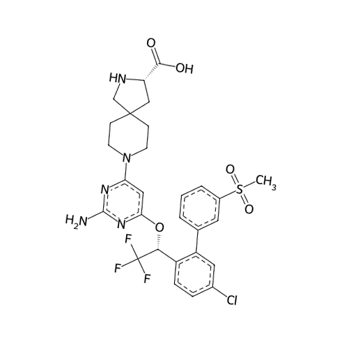 CS(=O)(=O)c1cccc(-c2cc(Cl)ccc2[C@@H](Oc2cc(N3CCC4(CC3)CN[C@H](C(=O)O)C4)nc(N)n2)C(F)(F)F)c1